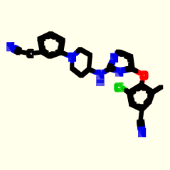 Cc1cc(C#N)cc(Cl)c1Oc1ccnc(NC2CCN(c3cccc(CC#N)c3)CC2)n1